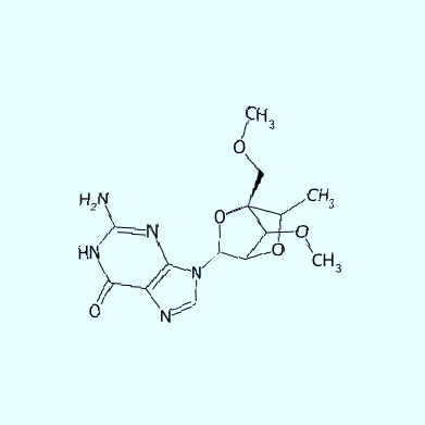 COC[C@@]12OC(n3cnc4c(=O)[nH]c(N)nc43)C(OC1C)C2OC